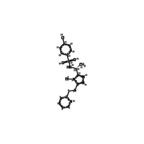 CCn1c(SCc2ccccn2)nnc1[C@@H](C)NS(=O)(=O)c1ccc(Cl)cc1